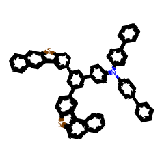 c1ccc(-c2ccc(N(c3ccc(-c4ccccc4)cc3)c3ccc(-c4cc(-c5ccc6sc7cc8ccccc8cc7c6c5)cc(-c5ccc6sc7ccc8ccccc8c7c6c5)c4)cc3)cc2)cc1